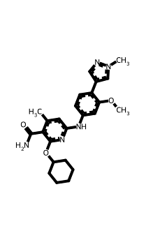 COc1cc(Nc2cc(C)c(C(N)=O)c(OC3CCCCC3)n2)ccc1-c1cnn(C)c1